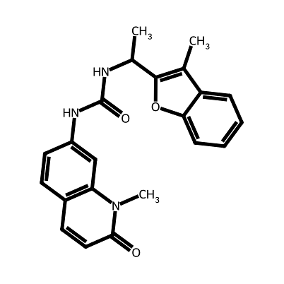 Cc1c(C(C)NC(=O)Nc2ccc3ccc(=O)n(C)c3c2)oc2ccccc12